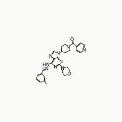 Cc1cccc(/C=N/Nc2nc(N3CCOCC3)nc3c2ncn3C2CCN(C(=O)c3ccncc3)CC2)c1